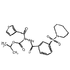 CC(C)OC(=O)N(NC(=O)c1cccc(S(=O)(=O)N2CCCCC2)c1)C(=O)c1ccsc1